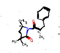 C[C@@H]1CC(C)(C)C(=O)N1C(=O)[C@@H](C)Cc1ccccc1